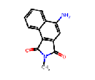 CN1C(=O)c2cc(N)c3ccccc3c2C1=O